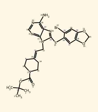 CC(C)(C)OC(=O)N1CCC(=CCn2c(Sc3cc4c(cc3Br)OCO4)nc3c(N)ncnc32)CC1